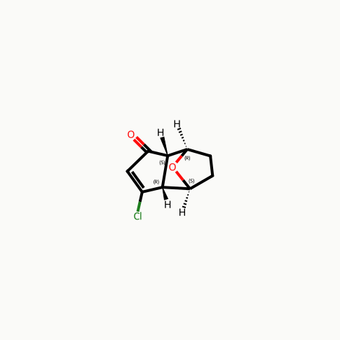 O=C1C=C(Cl)[C@@H]2[C@H]1[C@H]1CC[C@@H]2O1